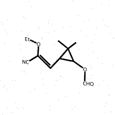 CCOC(C#N)=CC1C(OC=O)C1(C)C